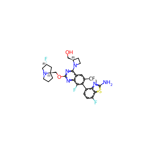 Nc1nc2c(-c3c(C(F)(F)F)cc4c(N5CC[C@@H]5CO)nc(OC[C@@]56CCCN5C[C@H](F)C6)nc4c3F)ccc(F)c2s1